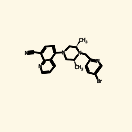 C[C@@H]1CN(c2ccc(C#N)c3ncccc23)C[C@H](C)N1Cc1ccc(Br)cn1